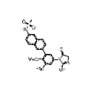 COc1c(-c2ccc3cc(NS(C)(=O)=O)ccc3c2)cc(N2C(=O)CN=C2O)cc1C(C)(C)C